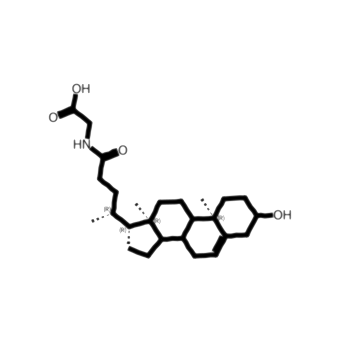 C[C@H](CCC(=O)NCC(=O)O)[C@H]1CCC2C3CC=C4CC(O)CC[C@]4(C)C3CC[C@@]21C